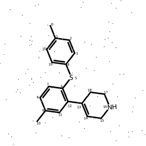 Cc1ccc(Sc2ccc(C)cc2C2=CCNCC2)cc1